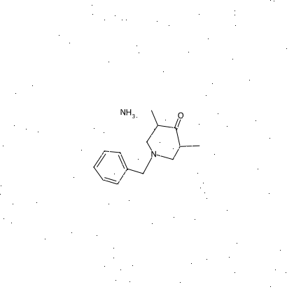 CC1CN(Cc2ccccc2)CC(C)C1=O.N